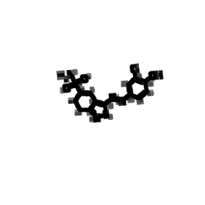 NS(=O)(=O)C1=Cc2c(nsc2/N=N/c2ccc(O)c(Cl)c2)CC1